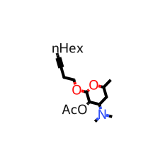 CCCCCCC#CCCOC1OC(C)CC(N(C)C)C1OC(C)=O